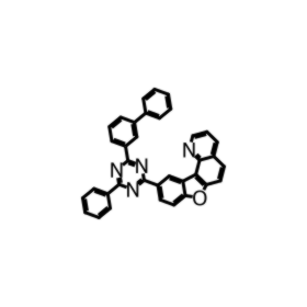 c1ccc(-c2cccc(-c3nc(-c4ccccc4)nc(-c4ccc5oc6ccc7cccnc7c6c5c4)n3)c2)cc1